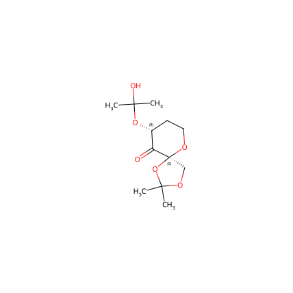 CC(C)(O)O[C@@H]1CCO[C@]2(COC(C)(C)O2)C1=O